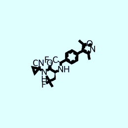 Cc1noc(C)c1-c1ccc([C@H](N[C@@H](CC(C)(C)F)C(=O)NC2(C#N)CC2)C(F)(F)F)cc1